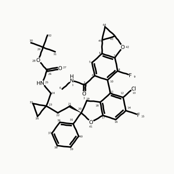 CNC(=O)c1cc2c(c(F)c1-c1c(Cl)c(F)cc3c1C[C@@](CCC1(CNC(=O)OC(C)(C)C)CC1)(c1ccccc1)O3)OC1CC21